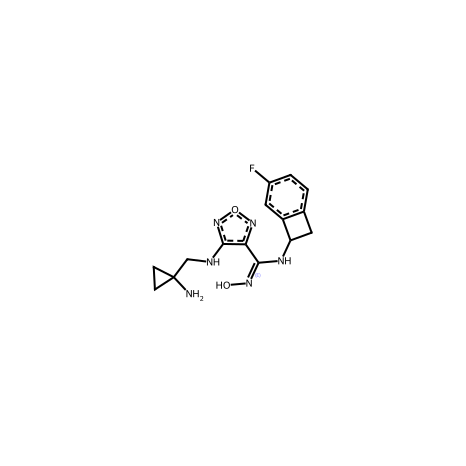 NC1(CNc2nonc2/C(=N\O)NC2Cc3ccc(F)cc32)CC1